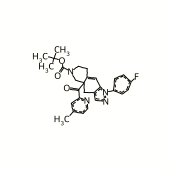 Cc1ccnc(C(=O)C23Cc4cnn(-c5ccc(F)cc5)c4C=C2CCN(C(=O)OC(C)(C)C)C3)c1